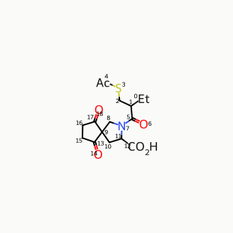 CCC(CSC(C)=O)C(=O)N1CC2(CC1C(=O)O)C(=O)CCC2=O